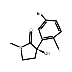 CN1CC[C@@](O)(c2cc(Br)ccc2F)C1=O